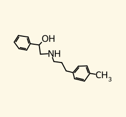 Cc1ccc(CCCNCC(O)c2ccccc2)cc1